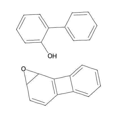 C1=CC2OC2C2=C1c1ccccc12.Oc1ccccc1-c1ccccc1